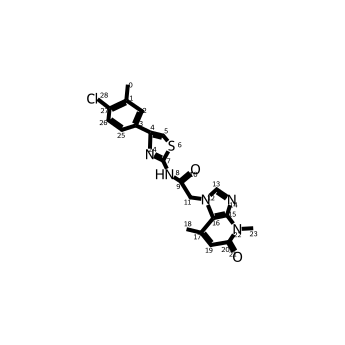 Cc1cc(-c2csc(NC(=O)Cn3cnc4c3c(C)cc(=O)n4C)n2)ccc1Cl